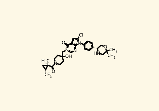 CC1(C)CN[C@H](c2ccc(-n3c(Cl)cc4c(=O)n(CC5(O)CCN(C(=O)[C@]6(C)C[C@H]6C(F)(F)F)CC5)cnc43)cc2)CO1